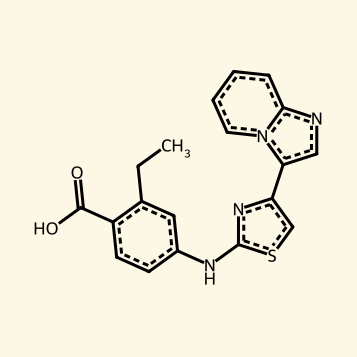 CCc1cc(Nc2nc(-c3cnc4ccccn34)cs2)ccc1C(=O)O